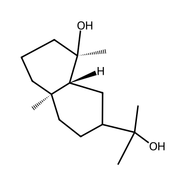 CC(C)(O)C1CC[C@@]2(C)CCC[C@@](C)(O)[C@@H]2C1